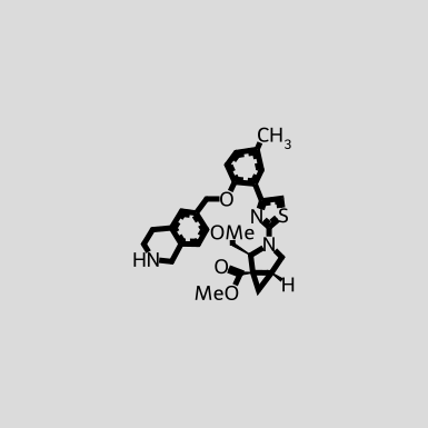 COC[C@H]1N(c2nc(-c3cc(C)ccc3OCc3ccc4c(c3)CCNC4)cs2)C[C@@H]2C[C@@]21C(=O)OC